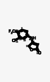 O=C1C=C(Nc2ccc(C(F)(F)F)c(Cl)c2)CO1